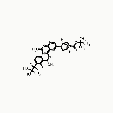 Cc1nc(N[C@H](C)c2cccc(C(F)(F)C(C)(C)O)c2F)c2cc(N3C[C@H]4C[C@@H]3CN4C(=O)OC(C)(C)C)cnc2n1